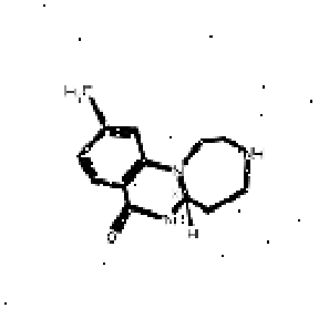 Cc1ccc2c(c1)N1CCNCC[C@@H]1NC2=O